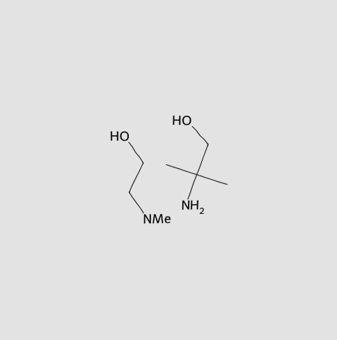 CC(C)(N)CO.CNCCO